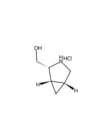 Cl.OC[C@@H]1NC[C@@H]2C[C@@H]21